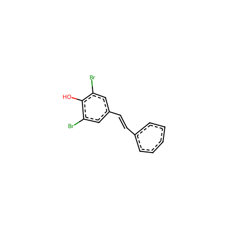 Oc1c(Br)cc(/C=C/c2ccccc2)cc1Br